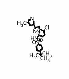 Cc1cncc(-c2cc3c(Cl)ccc(NS(=O)(=O)c4ccc(C(C)(C)C)cc4)n3n2)c1